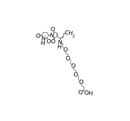 C=C/C=C(/NCCOCCOCCOCCOCCOCCC(=O)O)C1=CC(=O)N(C2CCC(=O)NC2=O)C1=O